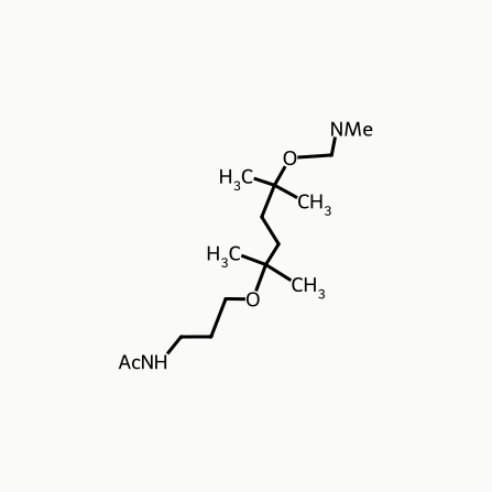 CNCOC(C)(C)CCC(C)(C)OCCCNC(C)=O